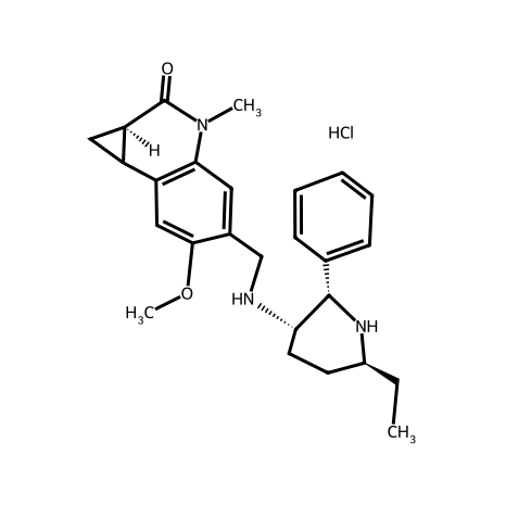 CC[C@H]1CC[C@H](NCc2cc3c(cc2OC)C2C[C@H]2C(=O)N3C)[C@H](c2ccccc2)N1.Cl